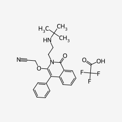 CC(C)(C)NCCn1c(OCC#N)c(-c2ccccc2)c2ccccc2c1=O.O=C(O)C(F)(F)F